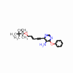 CC(C)(C)[Si](C)(C)OCC=CC#Cc1ncnc(Oc2ccccc2)c1N